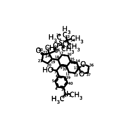 CN(C)c1ccc(C(O)C2=C3CCC4(C=C3CCC2C2CCC(=O)C2(C)CO[Si](C)(C)C(C)(C)C)OCCO4)cc1